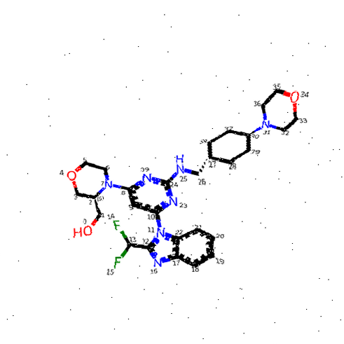 OC[C@H]1COCCN1c1cc(-n2c(C(F)F)nc3ccccc32)nc(NC[C@H]2CC[C@H](N3CCOCC3)CC2)n1